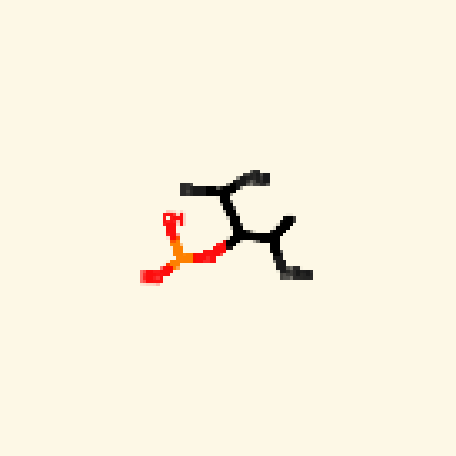 CCCCCCC(C)C(OP(O)O)C(CC)CCCC